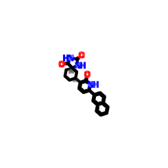 O=C1NC(=O)[C@]2(CCC[C@H](c3ccc(-c4ccc5ccccc5c4)[nH]c3=O)C2)N1